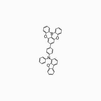 c1ccc(N(c2ccc(-c3cc4c5c(c3)Oc3ccccc3B5c3ccccc3O4)cc2)c2cccc3c2oc2ccccc23)cc1